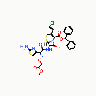 COC(=O)CON=C(C(=O)NC1C(=O)N2C(C(=O)OC(c3ccccc3)c3ccccc3)=C(/C=C/Cl)CS[C@@H]12)c1csc(N)n1